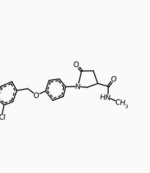 CNC(=O)C1CC(=O)N(c2ccc(OCc3cccc(Cl)c3)cc2)C1